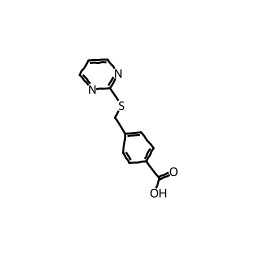 O=C(O)c1ccc(CSc2ncccn2)cc1